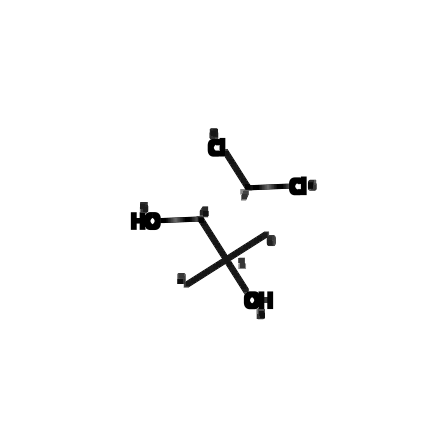 CC(C)(O)CO.ClCCl